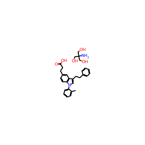 Cc1ccccc1-n1cc(CCc2ccccc2)c2cc(CCC(=O)O)ccc21.NC(CO)(CO)CO